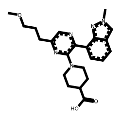 COCCCc1cnc(-c2cccc3cn(C)nc23)c(N2CCC(C(=O)O)CC2)n1